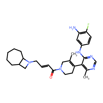 CC1=C(c2c(C)ncnc2Nc2ccc(F)c(N)c2)CCN(C(=O)/C=C/CN2CC3CCCCCC32)C1